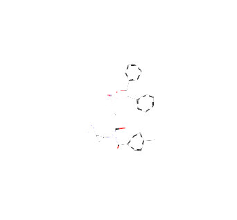 Cc1ccc(C(=O)N(C(=O)OCOP(=O)(OCc2ccccc2)OCc2ccccc2)C2CC2N)cc1